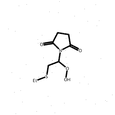 CCSCC(OO)N1C(=O)CCC1=O